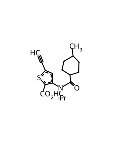 C#Cc1cc(N(C(=O)C2CCC(C)CC2)C(C)C)c(C(=O)O)s1